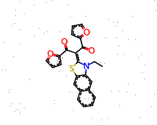 CCN1C(=C(C(=O)c2ccco2)C(=O)c2ccco2)Sc2cc3ccccc3cc21